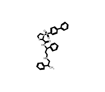 CC(CNCCC(NC(=O)C1SCCN1S(=O)(=O)c1ccc(-c2ccccc2)cc1)c1ccccc1)c1ccccc1